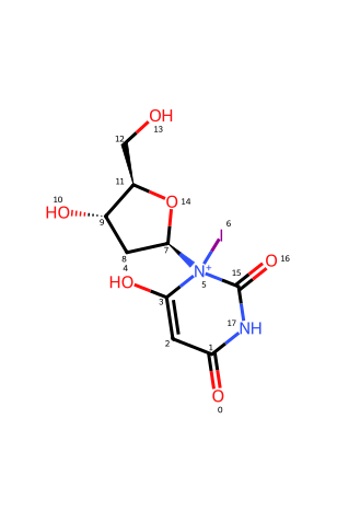 O=C1C=C(O)[N+](I)([C@H]2C[C@H](O)[C@@H](CO)O2)C(=O)N1